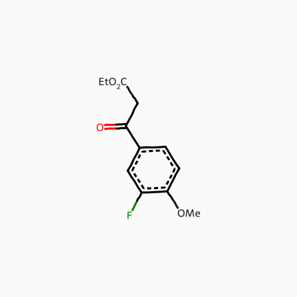 CCOC(=O)CC(=O)c1ccc(OC)c(F)c1